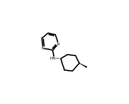 C[C@H]1CC[C@H](Nc2ncccn2)CC1